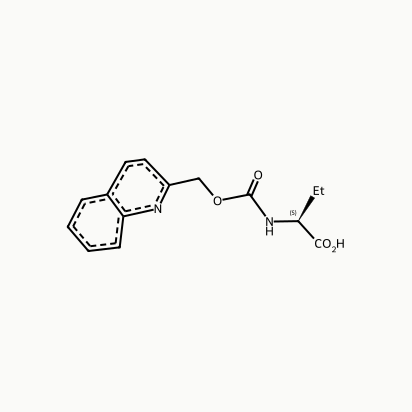 CC[C@H](NC(=O)OCc1ccc2ccccc2n1)C(=O)O